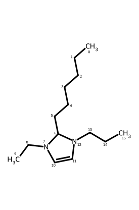 CCCCCCC1N(CC)C=CN1CCC